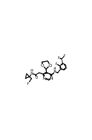 O=C(Cc1ncnc(NCc2cccc(C(F)F)c2F)c1C1OCCO1)NC1(CF)CC1